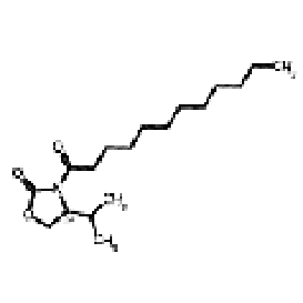 CCCCCCCCCCCC(=O)N1C(=O)OC[C@@H]1C(C)C